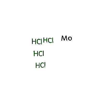 Cl.Cl.Cl.Cl.[Mo]